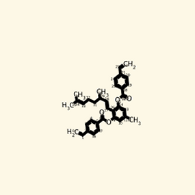 C=Cc1ccc(C(=O)Oc2cc(C)cc(OC(=O)c3ccc(C=C)cc3)c2/C=C/C(C)CCC=C(C)C)cc1